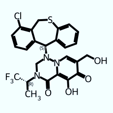 C[C@@H](N1CN([C@@H]2c3ccccc3SCc3c(Cl)cccc32)n2cc(CO)c(=O)c(O)c2C1=O)C(F)(F)F